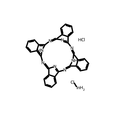 Cl.[Cl][InH2].c1ccc2c(c1)-c1nc-2nc2[nH]c(nc3nc(nc4[nH]c(n1)c1ccccc41)-c1ccccc1-3)c1ccccc21